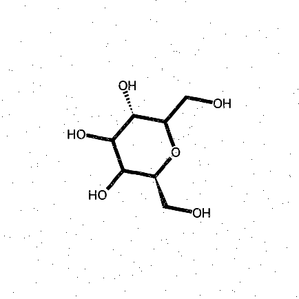 OCC1O[C@@H](CO)C(O)C(O)[C@@H]1O